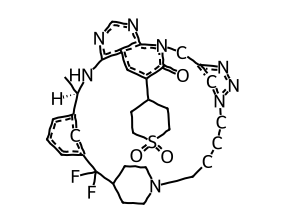 C[C@H]1Nc2ncnc3c2cc(C2CCS(=O)(=O)CC2)c(=O)n3Cc2cn(nn2)CCCCN2CCC(CC2)C(F)(F)c2cccc1c2